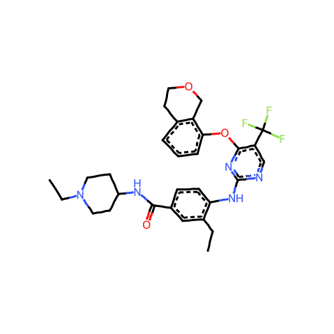 CCc1cc(C(=O)NC2CCN(CC)CC2)ccc1Nc1ncc(C(F)(F)F)c(Oc2cccc3c2COCC3)n1